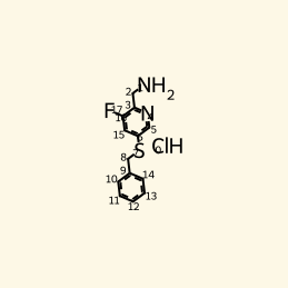 Cl.NCc1ncc(SCc2ccccc2)cc1F